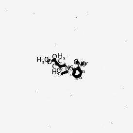 COC(=O)C(C)(C)C1CN(Sc2ccccc2[N+](=O)[O-])CCO1